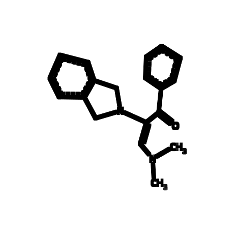 CN(C)/C=C(\C(=O)c1ccccc1)N1Cc2ccccc2C1